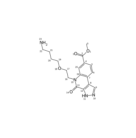 COC(=O)c1ccc2c3cn[nH]c3c(=O)n(CCOCCCCN)c2c1